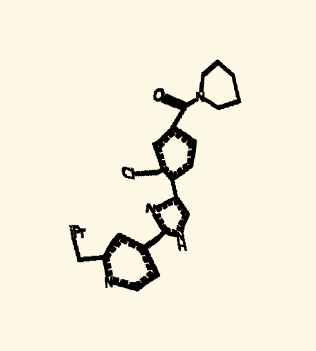 CC(C)Cc1cc(-c2nc(-c3ccc(C(=O)N4CCCCC4)cc3Cl)c[nH]2)ccn1